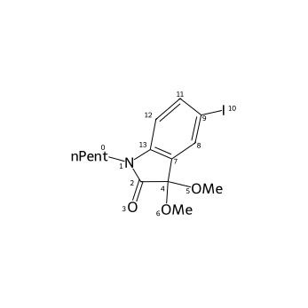 CCCCCN1C(=O)C(OC)(OC)c2cc(I)ccc21